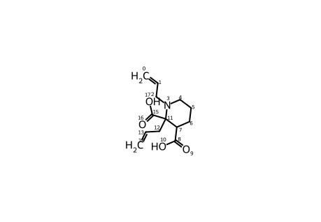 C=CCN1CCCC(C(=O)O)C1(CC=C)C(=O)O